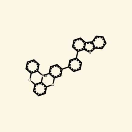 S=P12c3ccccc3Oc3cccc(c31)Oc1cc(-c3cccc(-c4cccc5c4sc4ccccc45)c3)ccc12